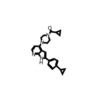 O=C(C1CC1)N1CCN(c2ccnc3[nH]c(-c4ccc(C5CC5)cc4)cc23)CC1